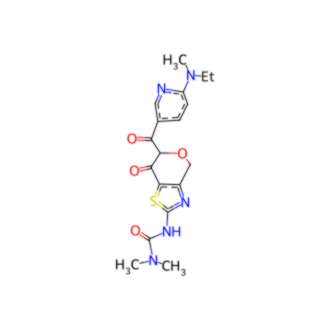 CCN(C)c1ccc(C(=O)C2OCc3nc(NC(=O)N(C)C)sc3C2=O)cn1